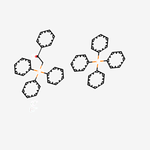 O=C(C[P+](c1ccccc1)(c1ccccc1)c1ccccc1)c1ccccc1.[Br-].[Cl-].c1ccc([P+](c2ccccc2)(c2ccccc2)c2ccccc2)cc1